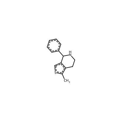 Cc1scc2c1CCNC2c1ccccc1